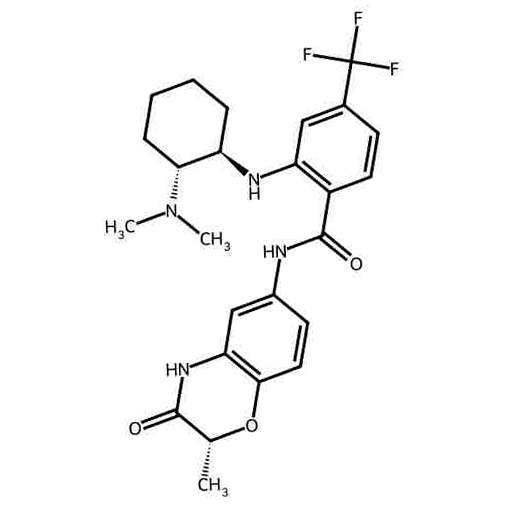 C[C@H]1Oc2ccc(NC(=O)c3ccc(C(F)(F)F)cc3N[C@@H]3CCCC[C@H]3N(C)C)cc2NC1=O